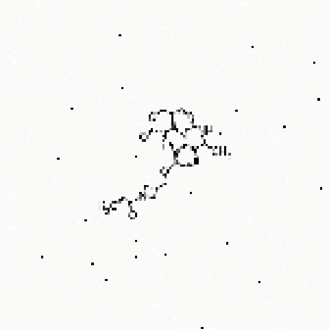 C=CC(=O)N1CC(COc2ccc([C@H](C)Nc3ncc4c(n3)N(C(C)C)C(=O)OC4)cc2)C1